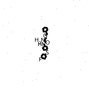 NC(COCc1ccccc1)C(=O)Nc1ccc(Sc2ccc(F)cc2)cc1